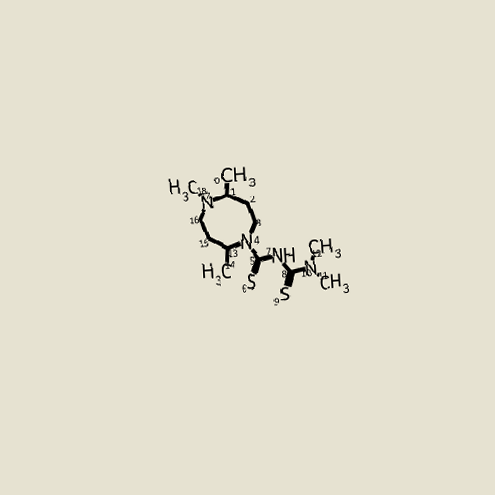 CC1CCN(C(=S)NC(=S)N(C)C)C(C)CCN1C